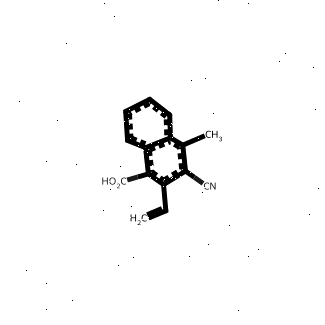 C=Cc1c(C#N)c(C)c2ccccc2c1C(=O)O